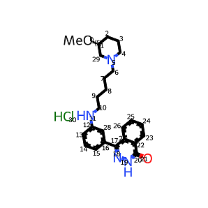 CO[C@H]1CCCN(CCCCCNc2cccc(-c3n[nH]c(=O)c4ccccc34)c2)C1.Cl